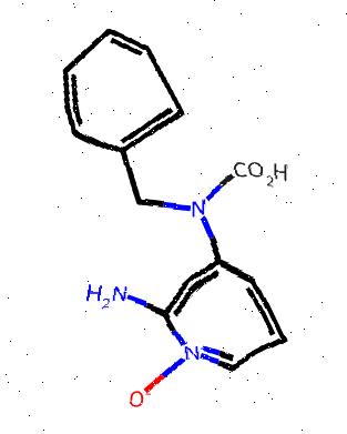 Nc1c(N(Cc2ccccc2)C(=O)O)ccc[n+]1[O-]